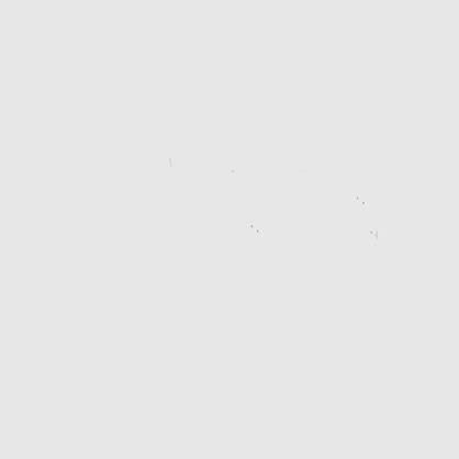 CC1C(c2c(F)cc(F)cc2F)=C(Cl)C2(C)CC2N1C(=O)c1c(C(F)F)nn(C)c1F